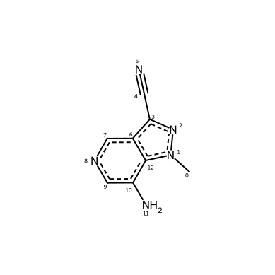 Cn1nc(C#N)c2cncc(N)c21